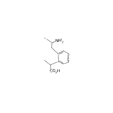 CC(N)Cc1ccccc1C(C)C(=O)O